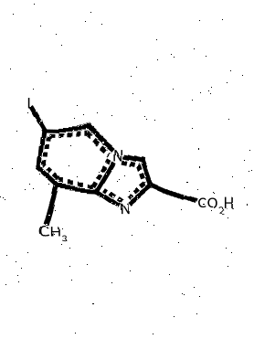 Cc1cc(I)cn2cc(C(=O)O)nc12